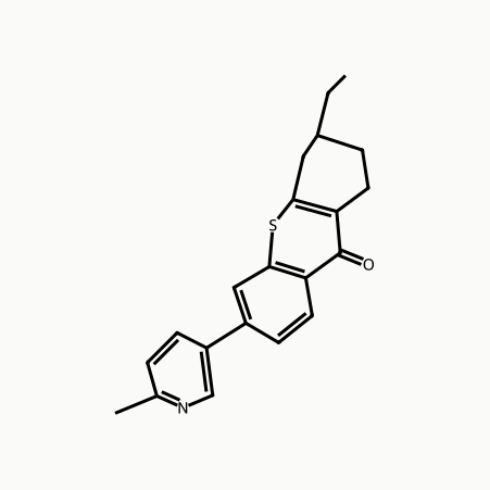 CCC1CCc2c(sc3cc(-c4ccc(C)nc4)ccc3c2=O)C1